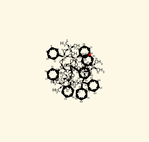 C[Si](C)(C)O[Si]1(c2ccccc2)O[Si]2(c3ccccc3)O[Si]3(O[Si](c4ccccc4)(O1)O[Si](O[Si](C)(C)C)(c1ccccc1)O2)O[Si](O[Si](C)(C)C)(c1ccccc1)O[Si](c1ccccc1)(c1ccccc1)O[Si](O[Si](C)(C)C)(c1ccccc1)O3